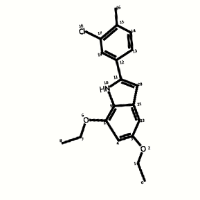 CCOc1cc(OCC)c2[nH]c(-c3ccc(C)c(Cl)c3)cc2c1